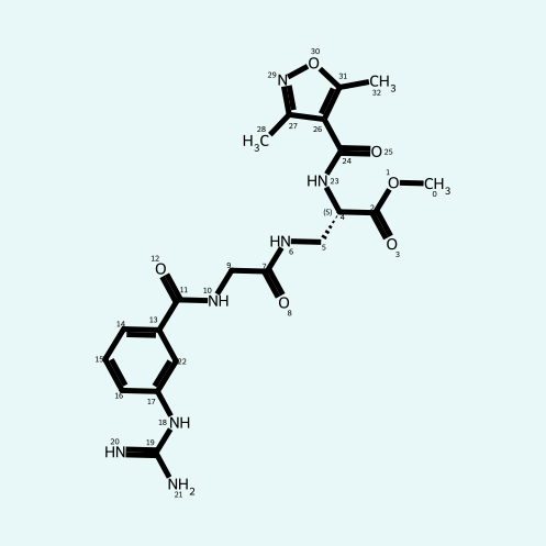 COC(=O)[C@H](CNC(=O)CNC(=O)c1cccc(NC(=N)N)c1)NC(=O)c1c(C)noc1C